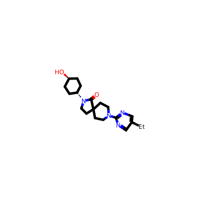 CCc1cnc(N2CCC3(CC2)CCN([C@H]2CC[C@H](O)CC2)C3=O)nc1